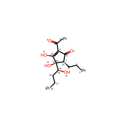 CC(C)CC[C@@H]1C(=O)C(C(=O)C(C)C)=C(O)[C@@]1(O)[C@@H](O)CCC(C)C